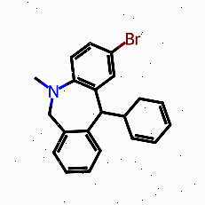 CN1Cc2ccccc2C(C2C=CC=CC2)c2cc(Br)ccc21